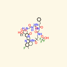 CC[C@@]1(O)C(=O)OCc2c1cc1n(c2=O)Cc2c-1nc1cc(F)c(C)c3c1c2[C@@H](NC(=O)C(C)(C)CCNC(=O)CNC(=O)[C@H](Cc1ccccc1)NC(=O)CNC(=O)CN)CC3.O=C(O)C(F)(F)F